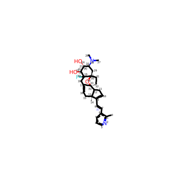 Cc1ncccc1/C=C/C1=CCC2[C@]1(C)CC=C1CC3(F)[C@@H](O)[C@H](O)[C@@H](N(C)C)C[C@]34CC[C@@]12O4